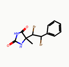 CC1(C(Br)C(Br)c2ccccc2)NC(=O)NC1=O